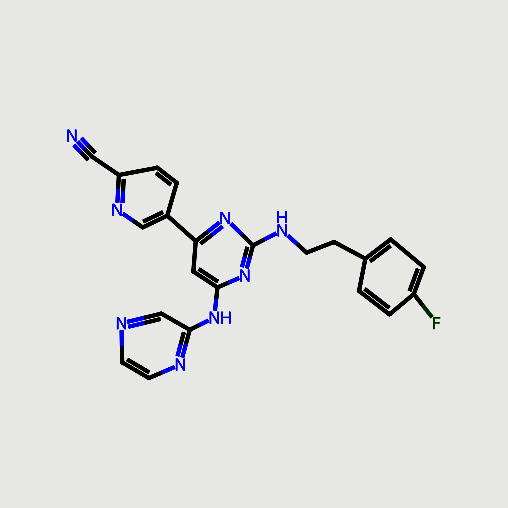 N#Cc1ccc(-c2cc(Nc3cnccn3)nc(NCCc3ccc(F)cc3)n2)cn1